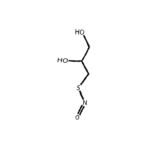 O=NSCC(O)CO